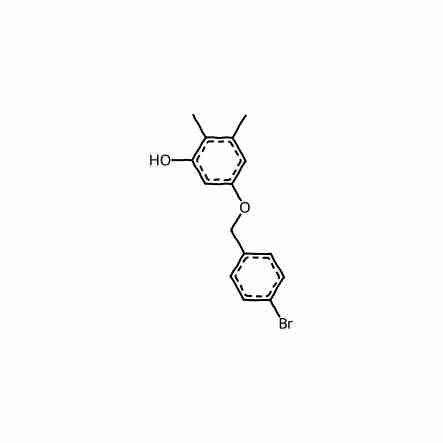 Cc1cc(OCc2ccc(Br)cc2)cc(O)c1C